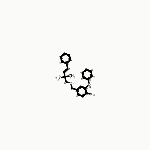 CC(C)(/C=C/c1ccccc1)COCc1ccc(F)c(Oc2ccccc2)c1